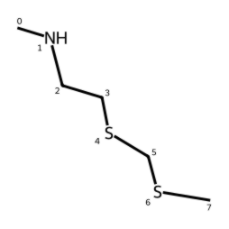 CNCCSCSC